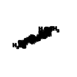 Cc1ccc(-c2ccc(N3C(=O)c4ccc(Oc5ccc(C(c6ccc(Oc7ccc8c(c7)C(=O)N(C)C8=O)cc6)(C(F)(F)F)C(F)(F)F)cc5)cc4C3=O)cc2C(F)(F)F)c(C)c1